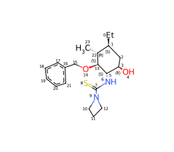 CC[C@H]1C[C@@H](O)[C@H](NC(=S)N2CCC2)[C@@H](OCc2ccccc2)[C@@H]1C